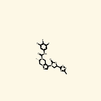 Cc1noc(C2CN(c3cnn4c3CN(C(=O)Nc3cc(F)c(F)c(F)c3)[C@@H](C)C4)C(=O)O2)n1